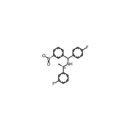 C[C@@H](NC(c1ccc(F)cc1)c1cccc([N+](=O)[O-])c1)c1cccc(F)c1